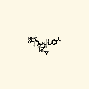 CC(C)c1ccc(CNc2nc(NC3CC3)n3ncc(/C=C4\NC(=O)NC4=O)c3n2)cc1